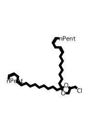 CCCCC/C=C\C/C=C\CCCCCCCCC1(CCCCCCC/C=C\C/C=C\CCCCC)OCC(CCl)O1